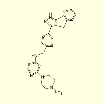 CN1CCN(c2cc(NCc3ccc(-c4n[nH]c5c4Cc4ccccc4-5)cc3)ccn2)CC1